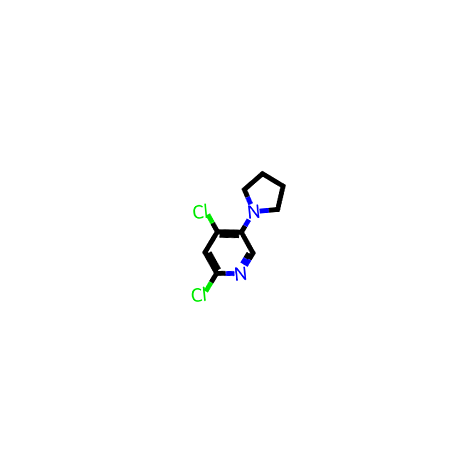 Clc1cc(Cl)c(N2CCCC2)cn1